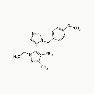 CCn1nc(C)c(N)c1-c1nncn1Cc1ccc(OC)cc1